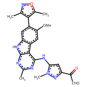 COc1cc2c(cc1-c1c(C)noc1C)[nH]c1nc(C)nc(Nc3cc(C(=O)C=O)nn3C)c12